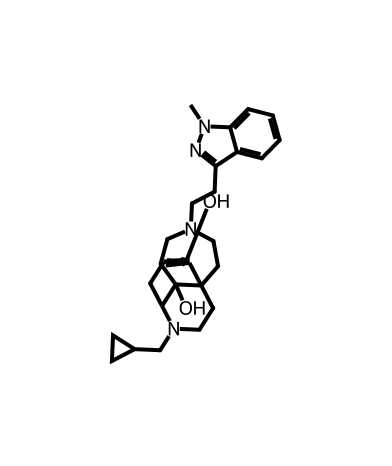 Cn1nc(CCN2CCC34CCN(CC5CC5)C(Cc5ccc(O)cc53)C4(O)CC2)c2ccccc21